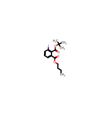 CCCCOC(=O)c1cccc(I)c1C(=O)OC(C)(C)C